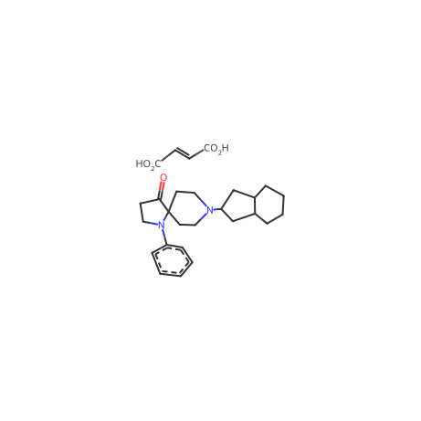 O=C(O)C=CC(=O)O.O=C1CCN(c2ccccc2)C12CCN(C1CC3CCCCC3C1)CC2